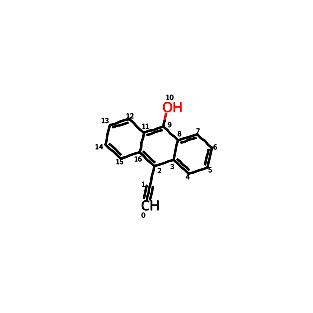 C#Cc1c2ccccc2c(O)c2ccccc12